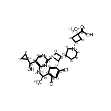 C[C@@H](Nc1nc(N2CC([C@H]3CCCN([C@H]4C[C@](C)(C(=O)O)C4)C3)C2)ncc1C(O)C1CC1)c1ccc(Cl)cc1Cl